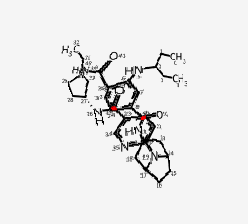 CCC(CC)Nc1cc(C(=O)NC2CC3CCC(C2)N3c2ccc(C(=O)N[C@@H]3CCN(CC)C3)cn2)ccc1C(N)=O